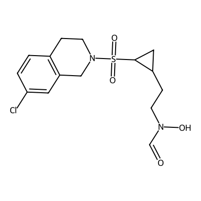 O=CN(O)CCC1CC1S(=O)(=O)N1CCc2ccc(Cl)cc2C1